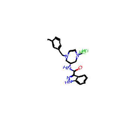 Cc1cccc(CN2CCN(C)C[C@@H](NC(=O)c3n[nH]c4ccccc34)C2)c1.Cl.Cl